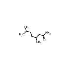 CC(C)CCC(C)CC(N)=O